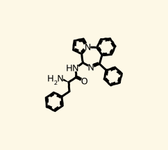 N[C@H](Cc1ccccc1)C(=O)NC1N=C(c2ccccc2)c2ccccc2-n2cccc21